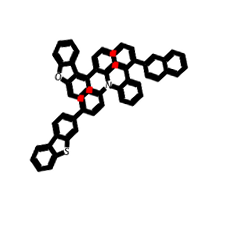 c1ccc(-c2ccccc2N(c2ccc(-c3ccc4c(c3)sc3ccccc34)cc2)c2ccccc2-c2cccc3oc4ccccc4c23)c(-c2ccc3ccccc3c2)c1